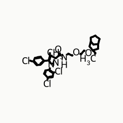 CCC1(OCCOCCNC(=O)c2nn(-c3ccc(Cl)cc3Cl)c(-c3ccc(Cl)cc3)c2C)CC2CCCC(C2)C1